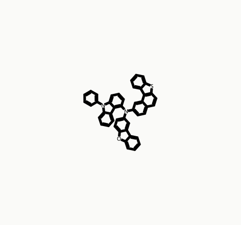 c1ccc(-n2c3ccccc3c3c(N(c4ccc5oc6ccccc6c5c4)c4ccc5ccc6sc7ccccc7c6c5c4)cccc32)cc1